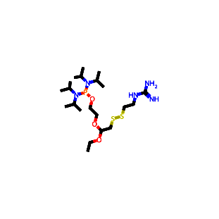 CCOC(CSSCCNC(=N)N)OCCOP(N(C(C)C)C(C)C)N(C(C)C)C(C)C